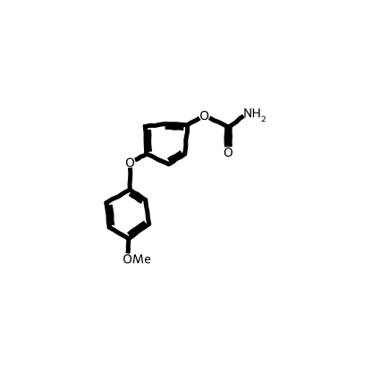 COc1ccc(Oc2ccc(OC(N)=O)cc2)cc1